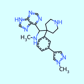 CNC(c1ncnc2[nH]cnc12)C1(c2cccc(-c3cnn(C)c3)c2)CCNCC1